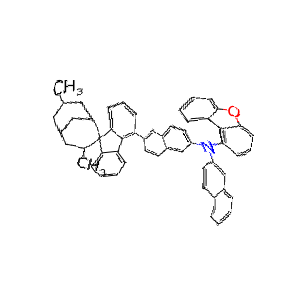 CC1CC2CC(C)C3(c4ccccc4-c4c(-c5ccc6cc(N(c7ccc8ccccc8c7)c7cccc8oc9ccccc9c78)ccc6c5)cccc43)C(C1)C2